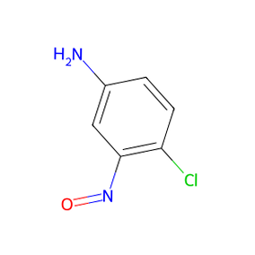 Nc1ccc(Cl)c(N=O)c1